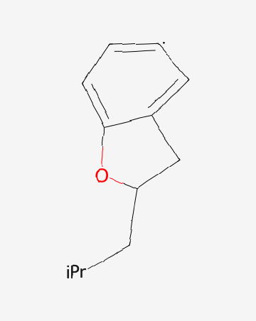 CC(C)CC1Cc2c[c]ccc2O1